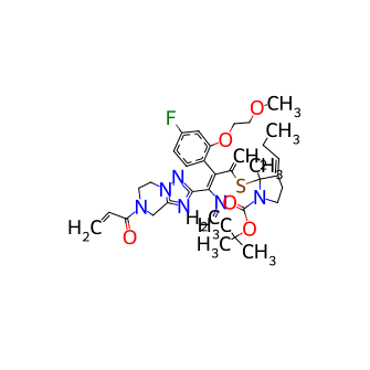 C=CC(=O)N1CCn2nc(/C(N=C)=C(/C(=C)SC3(C)/C(=C\CC)CCN3C(=O)OC(C)(C)C)c3ccc(F)cc3OCCOC)nc2C1